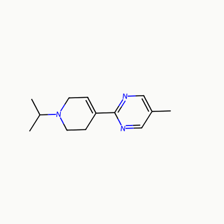 Cc1cnc(C2=CCN(C(C)C)CC2)nc1